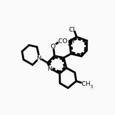 CC1CCc2nc(N3CCCCC3)c(OC(=O)O)c(-c3cccc(Cl)c3)c2C1